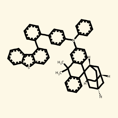 CC1(C)c2ccccc2C2(c3ccc(N(c4ccccc4)c4ccc(-c5ccccc5-c5cccc6sc7ccccc7c56)cc4)cc31)[C@H]1C[C@H]3C[C@H](C[C@H]2C3)C1